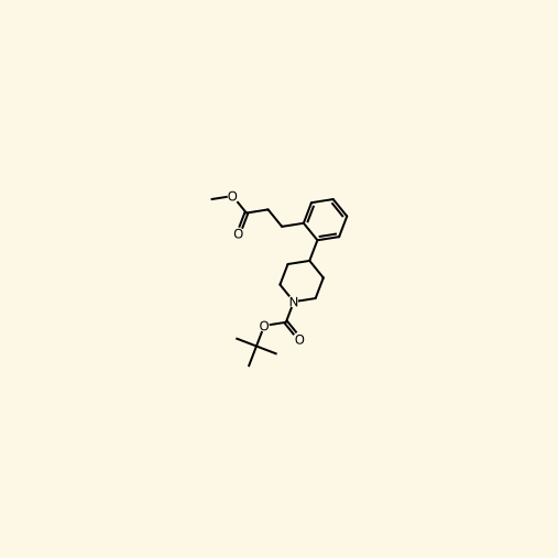 COC(=O)CCc1ccccc1C1CCN(C(=O)OC(C)(C)C)CC1